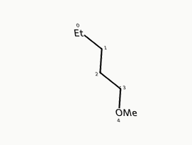 [CH2]CCC[CH]OC